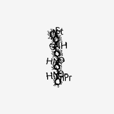 CCCc1ccccc1NC(=O)c1ccc(NC(=O)c2ccc(C(=O)Nc3ccc4c(ccc[n+]4CC)c3)cc2)cc1